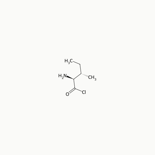 CC[C@H](C)[C@H](N)C(=O)Cl